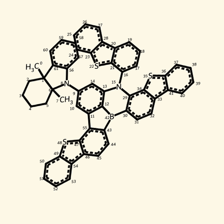 CC12CCCCC1(C)N(c1cc3c4c(c1)N(c1cccc5c1sc1ccccc15)c1c(ccc5c1sc1ccccc15)B4c1ccc4c(sc5ccccc54)c1-3)c1ccccc12